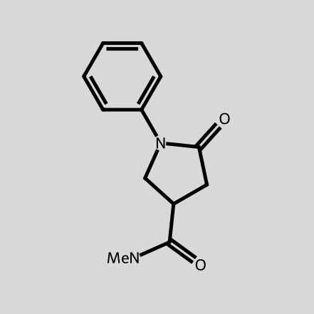 CNC(=O)C1CC(=O)N(c2ccccc2)C1